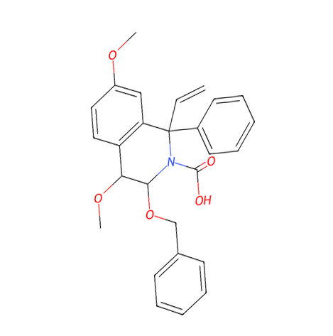 C=CC1(c2ccccc2)c2cc(OC)ccc2C(OC)C(OCc2ccccc2)N1C(=O)O